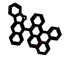 C1=CC2Oc3c(cc4ccccc4c3-c3c4ccccc4c(-c4ccccc4C4=CCCC=C4)c4ccccc34)C2C=C1